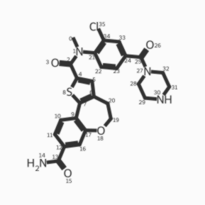 CN(C(=O)c1cc2c(s1)-c1ccc(C(N)=O)cc1OCC2)c1ccc(C(=O)N2CCNCC2)cc1Cl